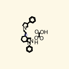 C(/CN1CCC(c2ccccc2)C1)=C1/CCCc2c1cnn2-c1ccccc1.O=C(O)C(=O)O